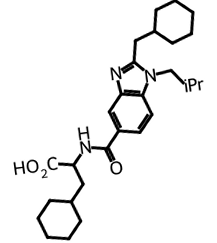 CC(C)Cn1c(CC2CCCCC2)nc2cc(C(=O)NC(CC3CCCCC3)C(=O)O)ccc21